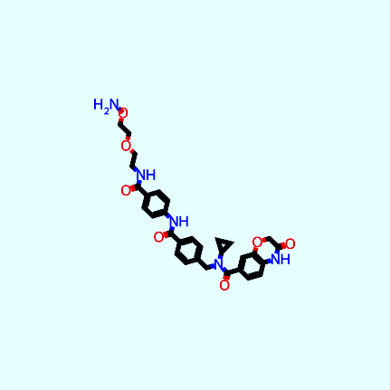 NOCCOCCNC(=O)c1ccc(NC(=O)c2ccc(CN(C(=O)c3ccc4c(c3)OCC(=O)N4)C3CC3)cc2)cc1